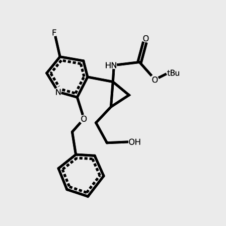 CC(C)(C)OC(=O)NC1(c2cc(F)cnc2OCc2ccccc2)CC1CCO